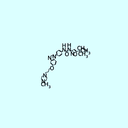 CN1CCN(CCCOc2ccc3c(c2)ncn3-c2ccc(NC(=O)Nc3cc(C(C)(C)C)on3)cc2)CC1